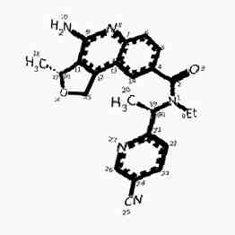 CCN(C(=O)c1ccc2nc(N)c3c(c2c1)CO[C@@H]3C)[C@H](C)c1ccc(C#N)cn1